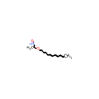 CCCCCCCCCCCCOCC(C)CNC=O